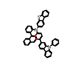 c1ccc(-n2c3ccccc3c3ccc(-c4ccc(N(c5ccc6c(c5)sc5ccccc56)c5ccccc5-c5cccc6ccccc56)cc4)cc32)cc1